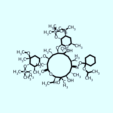 CC[C@H]1OC(=O)[C@H](C)[C@@H](O[C@H]2C[C@@](C)(OC)[C@@H](O[Si](C)(C)C)[C@H](C)O2)[C@H](C)[C@@H](O[C@@H]2O[C@H](C)C[C@H](N(C)C)[C@H]2O[Si](C)(C)C)[C@@](C)(O)C[C@@H](C)/C(=N\OC2(OC(C)C)CCCCC2)[C@H](C)[C@@H](O)[C@]1(C)O